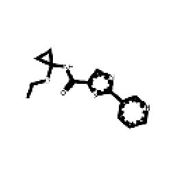 CCOC1(NC(=O)c2cnc(-c3cccnc3)s2)CC1